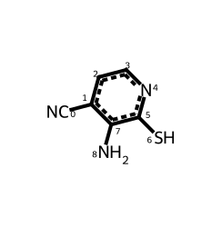 N#Cc1ccnc(S)c1N